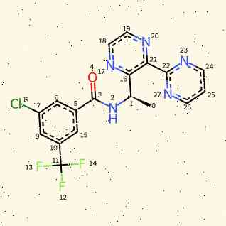 C[C@@H](NC(=O)c1cc(Cl)cc(C(F)(F)F)c1)c1nccnc1-c1ncccn1